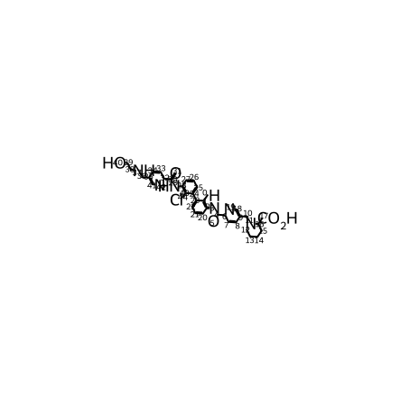 Cc1c(NC(=O)c2ccc(CN3CCCCC3C(=O)O)cn2)cccc1-c1cccc(NC(=O)c2ccc(CNCCO)cn2)c1Cl